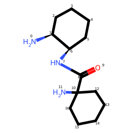 N[C@H]1CCCC[C@H]1NC(=O)C1(N)CCCCC1